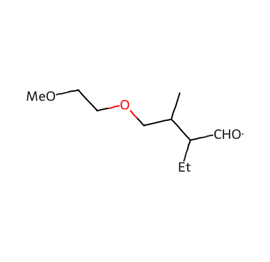 CCC([C]=O)C(C)COCCOC